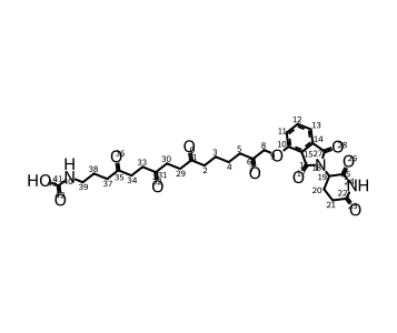 O=C(CCCCC(=O)COc1cccc2c1C(=O)N(C1CCC(=O)NC1=O)C2=O)CCC(=O)CCC(=O)CCCNC(=O)O